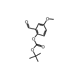 COc1ccc(OC(=O)OC(C)(C)C)c(C=O)c1